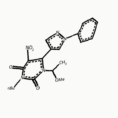 CCCCn1c(=O)c([N+](=O)[O-])c(-c2cnn(-c3ccccc3)c2)n(C(C)OC)c1=O